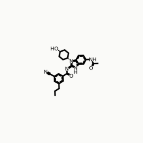 CCCc1cc(C#N)cc(C(=O)/N=c2\[nH]c3cc(NC(C)=O)ccc3n2[C@H]2CC[C@H](O)CC2)c1